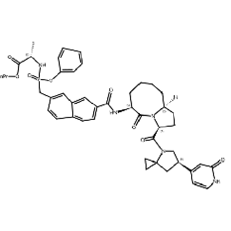 CCCOC(=O)[C@H](C)NP(=O)(Cc1ccc2ccc(C(=O)N[C@H]3CCCC[C@H]4CC[C@@H](C(=O)N5C[C@@H](c6cc[nH]c(=O)c6)CC56CC6)N4C3=O)cc2c1)Oc1ccccc1